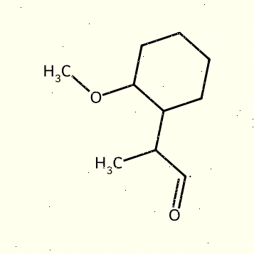 COC1CCCCC1C(C)[C]=O